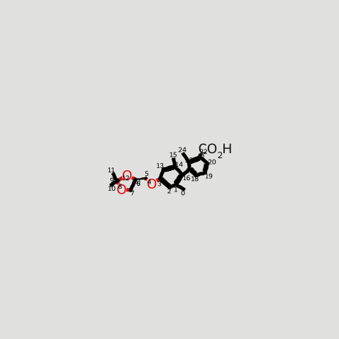 Cc1cc(OC[C@H]2COC(C)(C)O2)cc(C)c1-c1cccc(C(=O)O)c1C